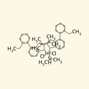 CCc1ccccc1-c1cccc2c1C=C(C(C)C)[CH]2[Hf]([Cl])([Cl])([CH]1C(C(C)C)=Cc2c(-c3ccccc3CC)cccc21)[SiH](C)C